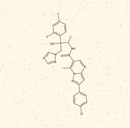 Cc1c(C(=O)NC(C)C(O)(Cn2cncn2)c2ccc(F)cc2F)cnc2cc(-c3ccc(Cl)cc3)nn12